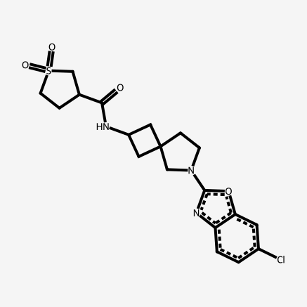 O=C(NC1CC2(CCN(c3nc4ccc(Cl)cc4o3)C2)C1)C1CCS(=O)(=O)C1